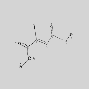 CC(C)OC(=O)C=C(I)C(=O)OC(C)C